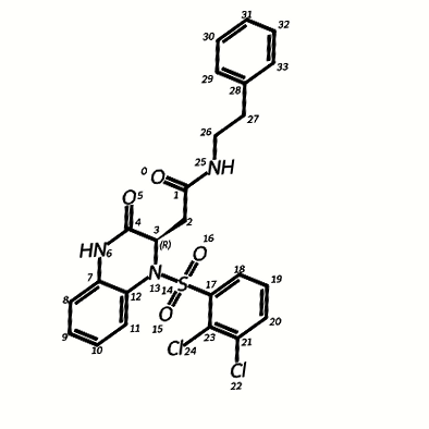 O=C(C[C@@H]1C(=O)Nc2ccccc2N1S(=O)(=O)c1cccc(Cl)c1Cl)NCCc1ccccc1